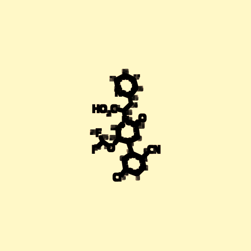 N#Cc1ccc(Cl)cc1-c1cc(=O)n(C(Cc2ccccn2)C(=O)O)cc1OC(F)F